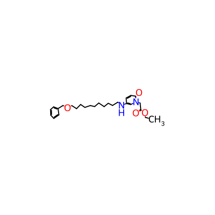 CCOC(=O)Cn1cc(NCCCCCCCCCCCOCc2ccccc2)ccc1=O